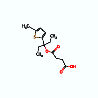 CCC(CC)(OC(=O)CCC(=O)O)c1ccc(C)s1